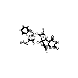 CC(C)OC(=O)[C@H](C)O[P@](=O)(OC[C@H](C)OC(n1cnc(=O)[nH]c1=O)C(C)(Cl)C#CCl)Oc1ccccc1